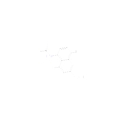 CCC(=O)Nc1ccc(S(=O)(=O)O)c2cc(S(=O)(=O)O)cc(O)c12